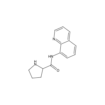 O=C(Nc1cccc2cccnc12)C1CCCN1